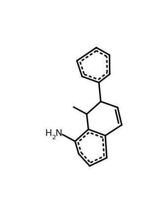 CC1c2c(N)cccc2C=CC1c1ccccc1